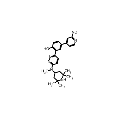 CN(c1ccc(-c2cc(-c3ccnc(N=O)c3)ccc2O)nn1)C1CC(C)(C)NC(C)(C)C1